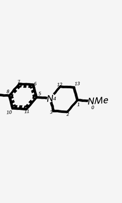 CNC1CCN(c2ccc([O])cc2)CC1